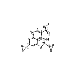 CNC(=O)c1nnc2cc(C3CC3)ccc2c1NC(C)C1CC1